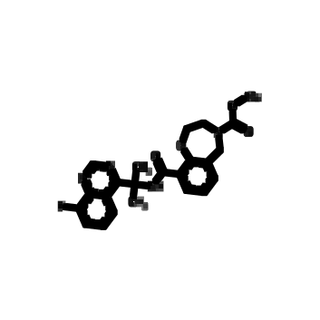 CC(C)(C)OC(=O)N1CCOc2c(cccc2C(=O)NC(C)(C)c2ncnc3c(F)cccc23)C1